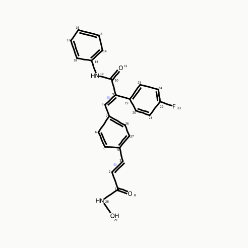 O=C(/C=C/c1ccc(/C=C(/C(=O)Nc2ccccc2)c2ccc(F)cc2)cc1)NO